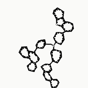 c1cc(-c2ccc3ccc4ccccc4c3c2)cc(N(c2ccc(-c3cccc4c3oc3ccccc34)cc2)c2cccc(-c3cc4ccccc4c4ccccc34)c2)c1